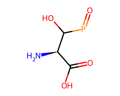 N[C@H](C(=O)O)C(O)P=O